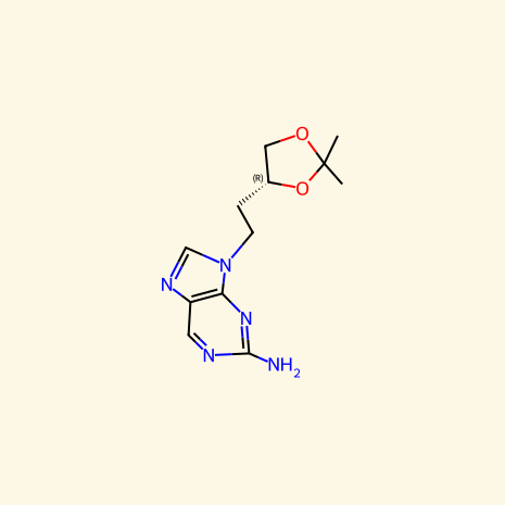 CC1(C)OC[C@@H](CCn2cnc3cnc(N)nc32)O1